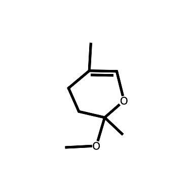 COC1(C)CCC(C)=CO1